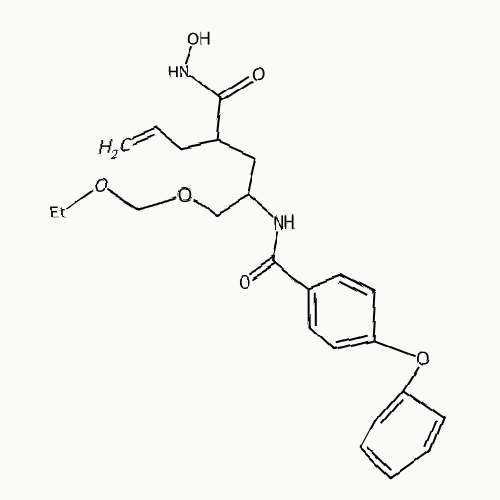 C=CCC(CC(COCOCC)NC(=O)c1ccc(Oc2ccccc2)cc1)C(=O)NO